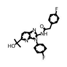 CC(C)(O)c1ccc2nc(NC(=O)Cc3ccc(F)cc3)n(-c3ccc(F)cc3)c2n1